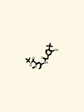 C=N/C(=C\C(=C/C)NC(=O)Cc1ccc(C(C)(C)C)c(O)c1)C(=O)NC(C)(C)C